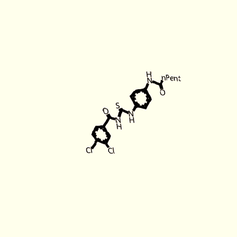 CCCCCC(=O)Nc1ccc(NC(=S)NC(=O)c2ccc(Cl)c(Cl)c2)cc1